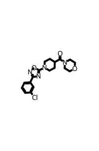 O=C(C1CCN(c2nc(-c3cccc(Cl)c3)no2)CC1)N1CCOCC1